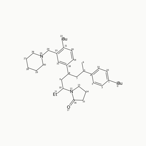 CCC(C)c1ccc(C(C)CC(CC(CC)N2CCCC2=O)c2ccc(C(C)CC)c(CN3CCCCC3)c2)cc1